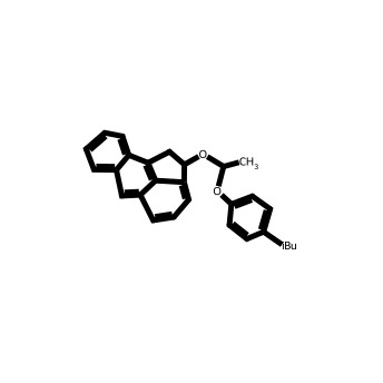 CCC(C)c1ccc(OC(C)OC2Cc3c4ccccc4cc4cccc2c34)cc1